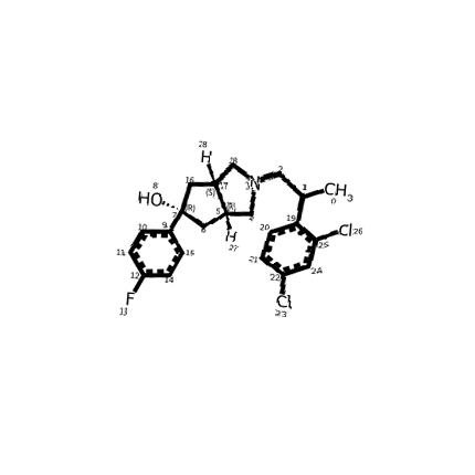 CC(CN1C[C@@H]2C[C@@](O)(c3ccc(F)cc3)C[C@@H]2C1)c1ccc(Cl)cc1Cl